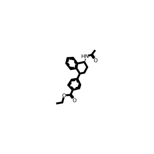 CCOC(=O)c1ccc(C2CC[C@@H](NC(C)=O)c3ccccc32)cc1